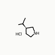 CC(C)[C@@H]1CCNC1.Cl